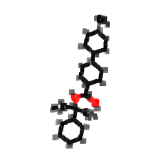 CC1CCC(C2CCC(C(=O)OC(C)(C)C3CCCCC3)CC2)CC1